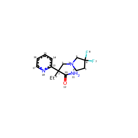 CCC(CN1CCC(F)(F)C1)(C(N)=O)c1ccccn1